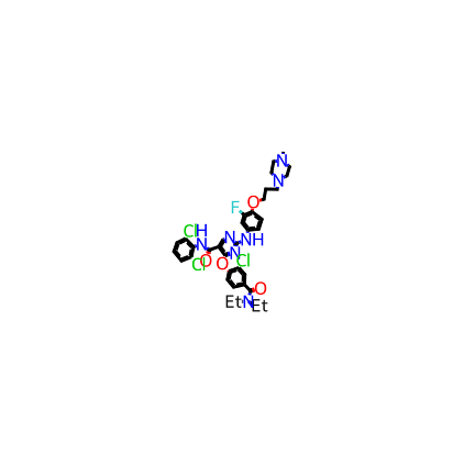 CCN(CC)C(=O)c1ccc(Oc2nc(Nc3ccc(OCCCN4CCN(C)CC4)c(F)c3)ncc2C(=O)Nc2c(Cl)cccc2Cl)c(Cl)c1